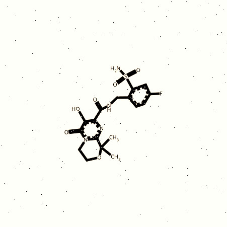 CC1(C)OCCn2c1nc(C(=O)NCc1ccc(F)cc1S(N)(=O)=O)c(O)c2=O